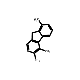 Cc1cccc2c1Cc1cnc(C)c(C)c1-2